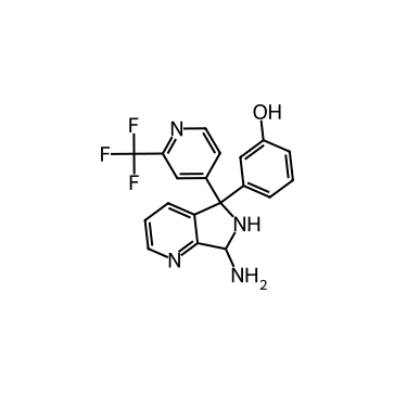 NC1NC(c2cccc(O)c2)(c2ccnc(C(F)(F)F)c2)c2cccnc21